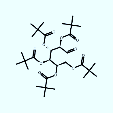 CC(C)(C)C(=O)OC[C@@H](OC(=O)C(C)(C)C)[C@@H](OC(=O)C(C)(C)C)[C@H](OC(=O)C(C)(C)C)[C@H](C=O)OC(=O)C(C)(C)C